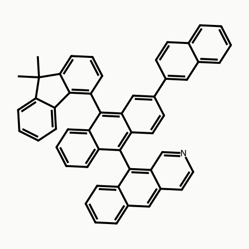 CC1(C)c2ccccc2-c2c(-c3c4ccccc4c(-c4c5ccccc5cc5ccncc45)c4ccc(-c5ccc6ccccc6c5)cc34)cccc21